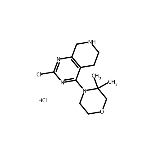 CC1(C)COCCN1c1nc(Cl)nc2c1CCNC2.Cl